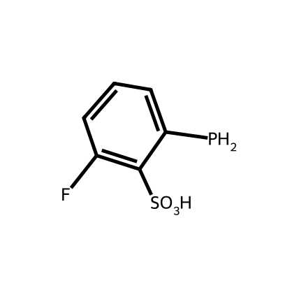 O=S(=O)(O)c1c(F)cccc1P